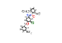 O=Cc1cccc(N=O)c1C(=O)Nc1ccc(OCc2cccc(C(F)(F)F)c2)c(Cl)c1